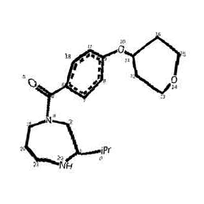 CC(C)C1CN(C(=O)c2ccc(OC3CCOCC3)cc2)CCCN1